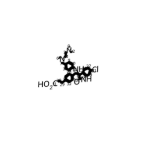 CN(C)CCN(C)Cc1ccc(NC(=C2C(=O)Nc3cc(Cl)ccc32)c2ccc(CCC(=O)O)cc2)cc1